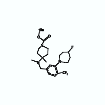 CN(Cc1ccc(C(F)(F)F)c(N2CCC(F)CC2)c1)C1(C)CCN(C(=O)OC(C)(C)C)CC1